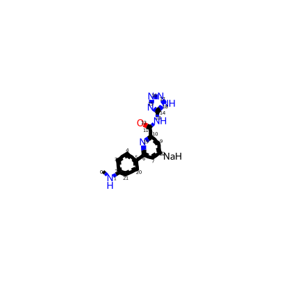 CNc1ccc(-c2cccc(C(=O)Nc3nnn[nH]3)n2)cc1.[NaH]